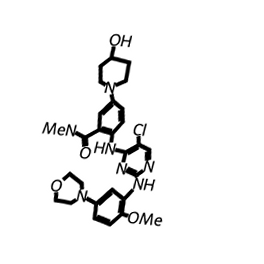 CNC(=O)c1cc(N2CCC(O)CC2)ccc1Nc1nc(Nc2cc(N3CCOCC3)ccc2OC)ncc1Cl